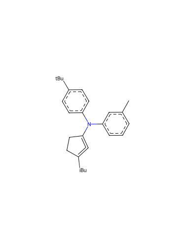 CCC(C)C1=C=C(N(c2ccc(C(C)(C)C)cc2)c2cccc(C)c2)CC1